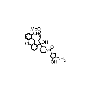 COCCCC[C@@](O)(c1cccc(Cl)c1Cc1ccccc1C)[C@@H]1CCCN(C(=O)[C@H]2C[C@@H](N)[C@@H](O)C2)C1